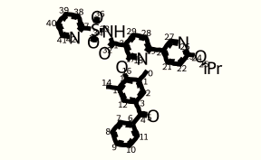 Cc1cc(C(=O)c2ccccc2)cc(C)c1Oc1nc(-c2ccc(OC(C)C)nc2)ccc1C(=O)NS(=O)(=O)c1ccccn1